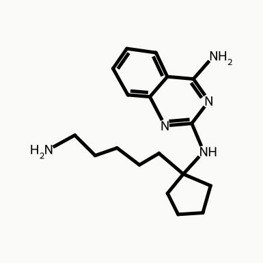 NCCCCCC1(Nc2nc(N)c3ccccc3n2)CCCC1